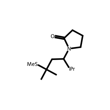 CSC(C)(C)CC(C(C)C)N1CCCC1=O